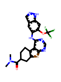 CN(C)C(=O)C1CCc2c(sc3ncnc(Nc4cc5cn[nH]c5cc4OC(F)(F)F)c23)C1